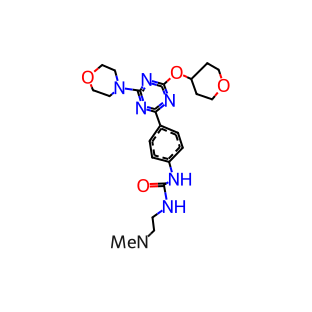 CNCCNC(=O)Nc1ccc(-c2nc(OC3CCOCC3)nc(N3CCOCC3)n2)cc1